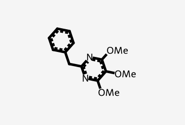 COc1nc(Cc2ccccc2)nc(OC)c1OC